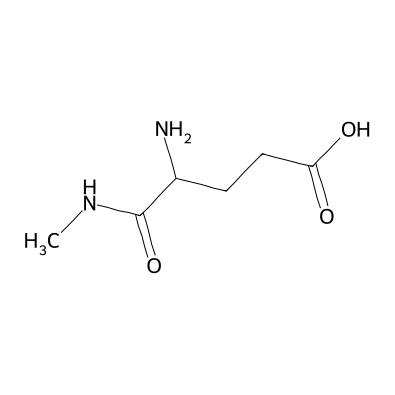 CNC(=O)C(N)CCC(=O)O